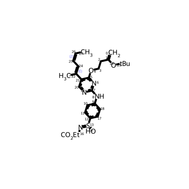 C=C(CCOc1nc(Nc2ccc([SH](=O)=NC(=O)OCC)cc2)ncc1/C(C)=C/C=C\C)OC(C)(C)C